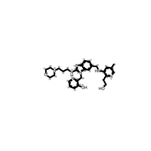 Cc1cnc(CCO)c(NCc2ccc3nc(NCCCN4CCOCC4)n(Cc4ncccc4O)c3c2)c1